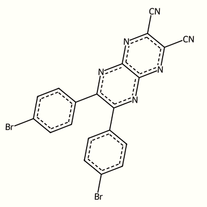 N#Cc1nc2nc(-c3ccc(Br)cc3)c(-c3ccc(Br)cc3)nc2nc1C#N